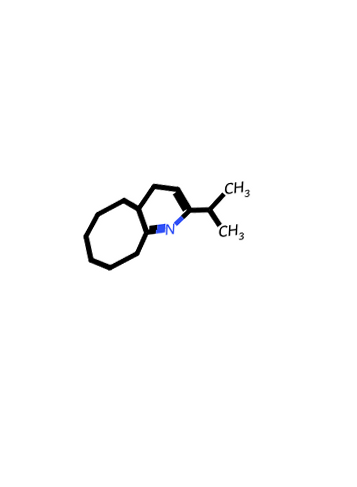 CC(C)C1=CCC2CCCCCCC2=N1